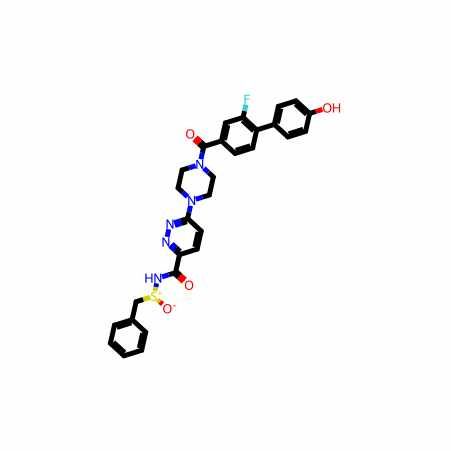 O=C(N[S+]([O-])Cc1ccccc1)c1ccc(N2CCN(C(=O)c3ccc(-c4ccc(O)cc4)c(F)c3)CC2)nn1